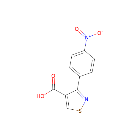 O=C(O)c1csnc1-c1ccc([N+](=O)[O-])cc1